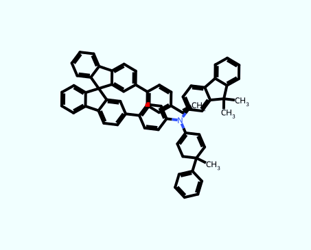 C=Cc1ccc(-c2ccc3c(c2)C2(c4ccccc4-3)c3ccccc3-c3ccc(-c4ccc(N(C5=CCC(C)(c6ccccc6)C=C5)c5ccc6c(c5)C(C)(C)c5ccccc5-6)cc4)cc32)cc1